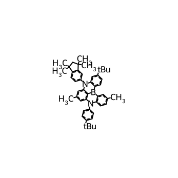 Cc1ccc2c(c1)B1c3ccc(C(C)(C)C)cc3N(c3ccc4c(c3)C(C)(C)CC4(C)C)c3cc(C)cc(c31)N2c1ccc(C(C)(C)C)cc1